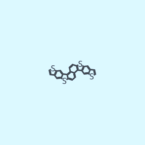 c1cc2cc3sc4ccc5c(ccc6sc7cc8ccsc8cc7c65)c4c3cc2s1